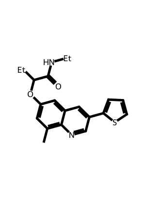 CCNC(=O)C(CC)Oc1cc(C)c2ncc(-c3cccs3)cc2c1